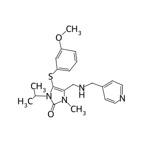 COc1cccc(Sc2c(CNCc3ccncc3)n(C)c(=O)n2C(C)C)c1